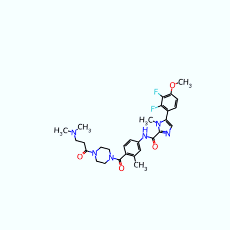 COc1ccc(-c2cnc(C(=O)Nc3ccc(C(=O)N4CCN(C(=O)CCN(C)C)CC4)c(C)c3)n2C)c(F)c1F